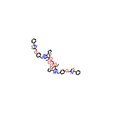 CCC(CC)(OC(=O)CC(=O)OC(CC)(CC)c1cn(Cc2ccc(OCc3csc(-c4ccccc4)n3)cc2)nc1-c1cccs1)c1cn(Cc2ccc(OCc3csc(-c4ccccc4)n3)cc2)nc1-c1cccs1